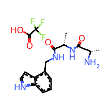 C[C@H](N)C(=O)N[C@@H](C)C(=O)NCc1cccc2[nH]ccc12.O=C(O)C(F)(F)F